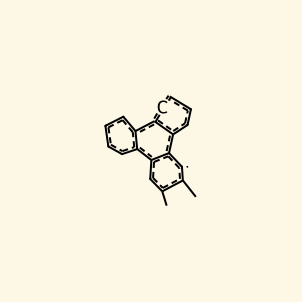 Cc1[c]c2c3ccccc3c3ccccc3c2cc1C